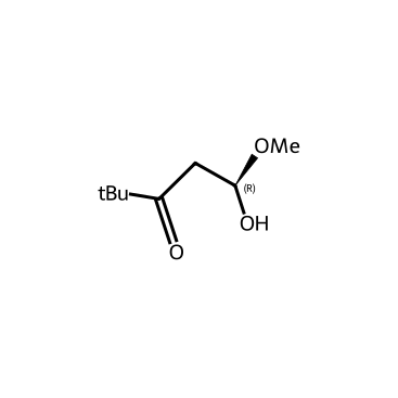 CO[C@@H](O)CC(=O)C(C)(C)C